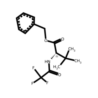 CC(C)(C)[C@H](NC(=O)C(F)(F)F)C(=O)OCc1ccccc1